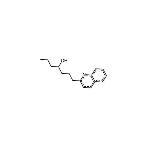 CCCC(O)CCCc1ccc2ccccc2n1